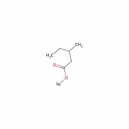 [2H]OC(=O)CC(C)CC